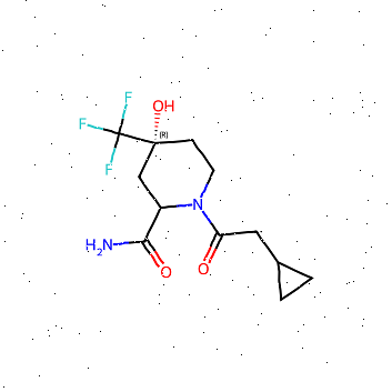 NC(=O)C1C[C@@](O)(C(F)(F)F)CCN1C(=O)[CH]C1CC1